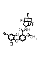 COc1ccc(Oc2c(Cl)cc(Br)cc2Cl)cc1C(=O)NC12CC3(F)CC4(F)CC(F)(C1)C34C2